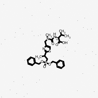 CC(CP(=O)(OCc1ccccc1)OCc1ccccc1)c1nc(CN(C)C(=O)N[C@H](C(=O)O)C(C)C)cs1